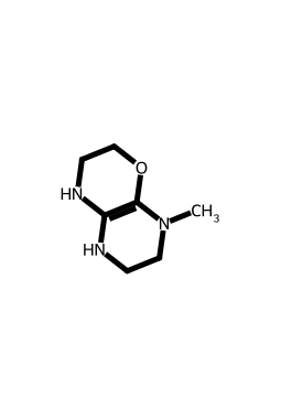 CN1CCNC2=C1OCCN2